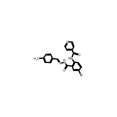 Cc1ccc(C=NNC(=O)c2cc(Br)ccc2NC(=O)c2ccncc2)cc1